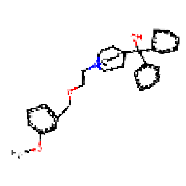 COc1cccc(COCC[N+]23CCC(C(O)(c4ccccc4)c4ccccc4)(CC2)CC3)c1